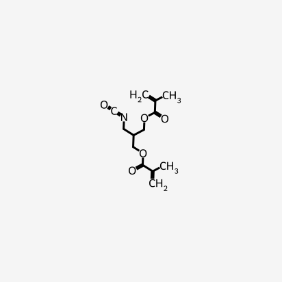 C=C(C)C(=O)OCC(CN=C=O)COC(=O)C(=C)C